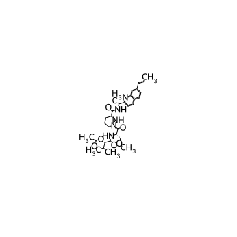 C/C=C/c1ccc2ccc([C@@H](C)NC(=O)[C@@H]3CCCN(C(=O)[C@H](COC)NC(=O)[C@@H](OC(C)=O)C(C)C)N3)nc2c1